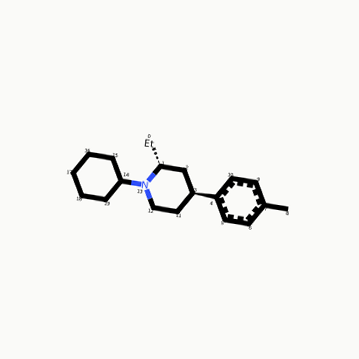 CC[C@@H]1C[C@@H](c2ccc(C)cc2)CCN1C1CCCCC1